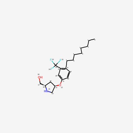 CCCCCCCCc1ccc(O[C@H]2CN[C@@H](CO)C2)cc1C(F)(F)F